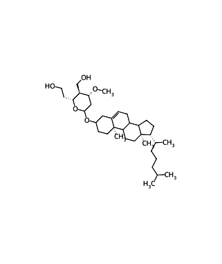 CO[C@@H]1CC(OC2CC[C@@]3(C)C(=CCC4C3CC[C@@]3(C)C4CC[C@@H]3C(C)CCCC(C)C)C2)O[C@H](CCO)[C@H]1CO